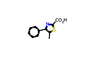 Cc1sc(C(=O)O)nc1-c1ccccc1